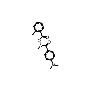 Cc1ccccc1C(=O)ON(C)C(=O)c1ccc(N(C)C)cc1